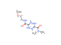 CN(C)C(=O)C1=NNC(C(=O)NCCOC=O)=NN1